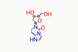 O=C1N2C=CNC2=CCN1[C@H]1C[C@H](O)[C@@H](CO)O1